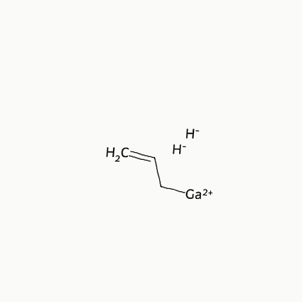 C=C[CH2][Ga+2].[H-].[H-]